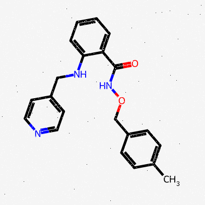 Cc1ccc(CONC(=O)c2ccccc2NCc2ccncc2)cc1